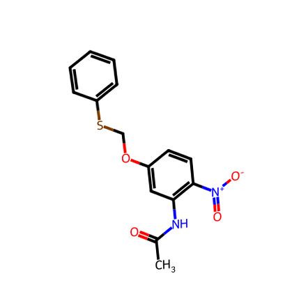 CC(=O)Nc1cc(OCSc2ccccc2)ccc1[N+](=O)[O-]